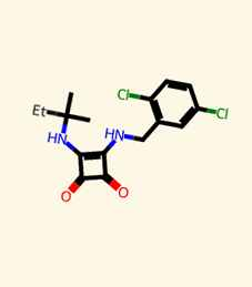 CCC(C)(C)Nc1c(NCc2cc(Cl)ccc2Cl)c(=O)c1=O